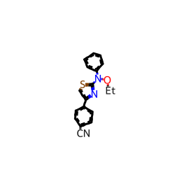 CCON(c1ccccc1)c1nc(-c2ccc(C#N)cc2)cs1